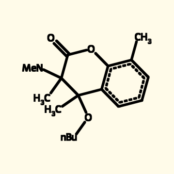 CCCCOC1(C)c2cccc(C)c2OC(=O)C1(C)NC